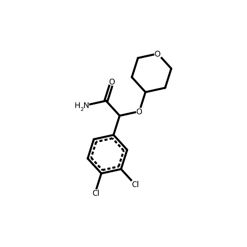 NC(=O)C(OC1CCOCC1)c1ccc(Cl)c(Cl)c1